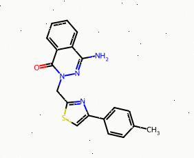 Cc1ccc(-c2csc(Cn3nc(N)c4ccccc4c3=O)n2)cc1